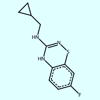 Fc1ccc2c(c1)SN=C(NCC1CC1)N2